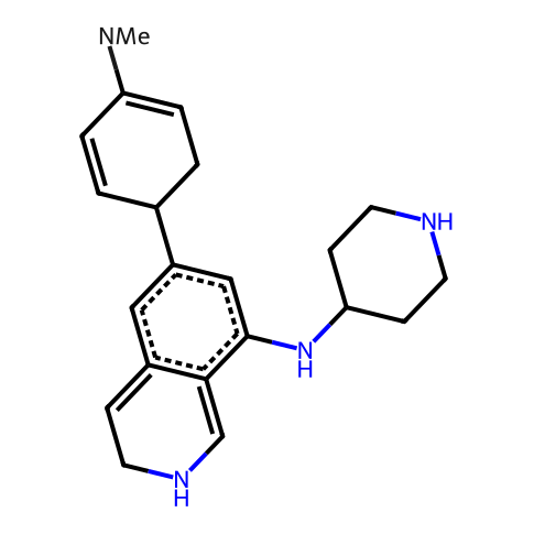 CNC1=CCC(c2cc(NC3CCNCC3)c3c(c2)=CCNC=3)C=C1